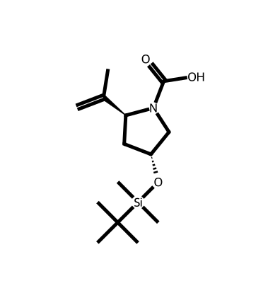 C=C(C)[C@@H]1C[C@@H](O[Si](C)(C)C(C)(C)C)CN1C(=O)O